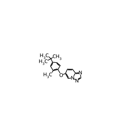 Cc1cc(C(C)(C)C)ccc1Oc1ccc2ncnn2c1